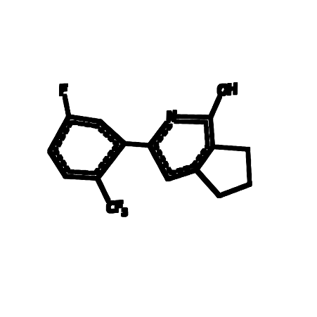 Oc1nc(-c2cc(F)ccc2C(F)(F)F)cc2c1CCC2